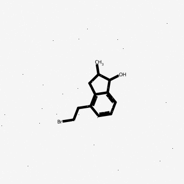 CC1Cc2c(CCBr)cccc2C1O